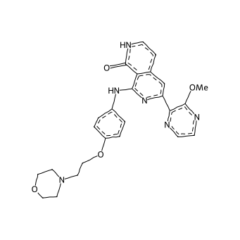 COc1nccnc1-c1cc2cc[nH]c(=O)c2c(Nc2ccc(OCCN3CCOCC3)cc2)n1